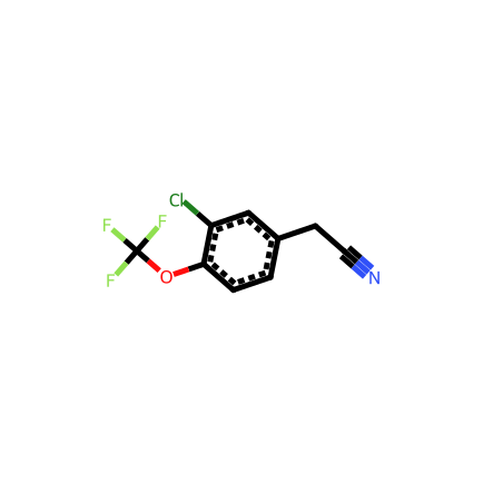 N#CCc1ccc(OC(F)(F)F)c(Cl)c1